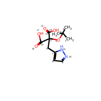 CC(C)(C)OC(Cc1ccn[nH]1)(C(=O)O)C(=O)O